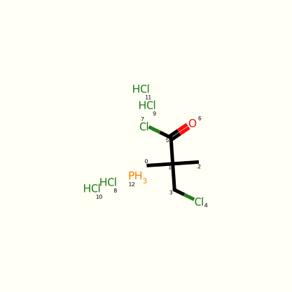 CC(C)(CCl)C(=O)Cl.Cl.Cl.Cl.Cl.P